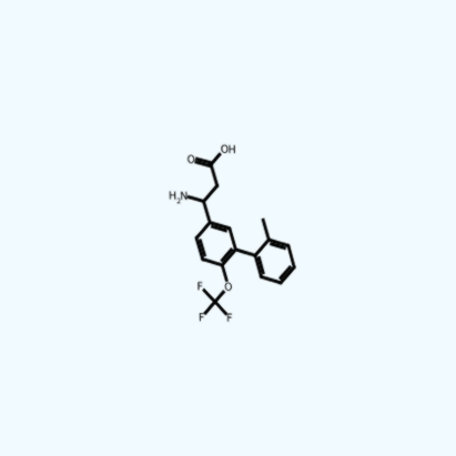 Cc1ccccc1-c1cc(C(N)CC(=O)O)ccc1OC(F)(F)F